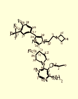 CCOc1c(N)ncnc1N1CC[C@@H](c2nc(-c3ccc(F)c(C(F)(F)F)c3)cn2CCN2CCC2)[C@@H](F)C1